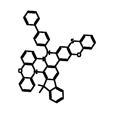 CC1(C)c2ccccc2-c2cc3c4c(c21)N1c2ccccc2Oc2cccc(c21)B4N(c1ccc(-c2ccccc2)cc1)c1cc2c(cc1-3)Oc1ccccc1S2